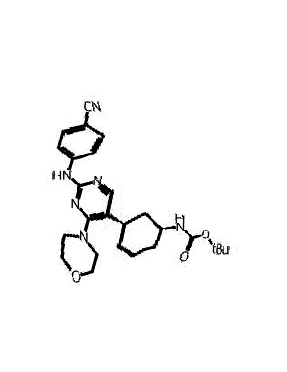 CC(C)(C)OC(=O)N[C@H]1CCC[C@@H](c2cnc(Nc3ccc(C#N)cc3)nc2N2CCOCC2)C1